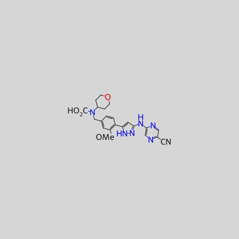 COc1cc(CN(C(=O)O)C2CCOCC2)ccc1-c1cc(Nc2cnc(C#N)cn2)n[nH]1